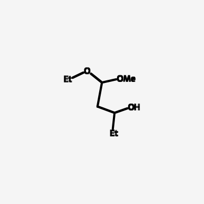 CCOC(CC(O)CC)OC